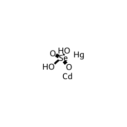 O=[Se](=O)(O)O.[Cd].[Hg]